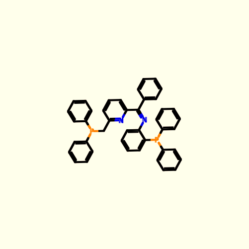 c1ccc(C(=Nc2ccccc2P(c2ccccc2)c2ccccc2)c2cccc(CP(c3ccccc3)c3ccccc3)n2)cc1